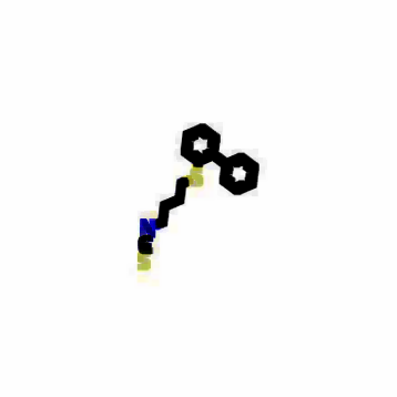 S=C=NCCCCSc1ccccc1-c1ccccc1